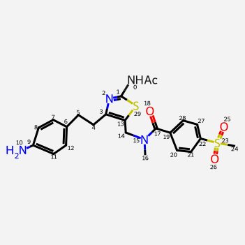 CC(=O)Nc1nc(CCc2ccc(N)cc2)c(CN(C)C(=O)c2ccc(S(C)(=O)=O)cc2)s1